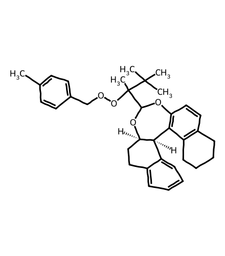 Cc1ccc(COOC(C)(C2Oc3ccc4c(c3[C@H]3c5ccccc5CC[C@H]3O2)CCCC4)C(C)(C)C)cc1